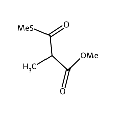 COC(=O)C(C)C(=O)SC